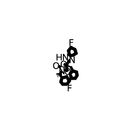 C[C@H](c1ccc(F)cc1)N1C(=O)O[C@](Cc2ccccc2)(c2nc3ccc(F)cc3[nH]2)C1=O